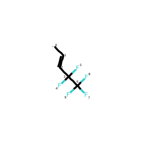 [CH2]C=CC(F)(F)C(F)(F)F